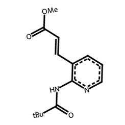 COC(=O)C=Cc1cccnc1NC(=O)C(C)(C)C